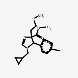 COC(=O)C1(CCSC)N=CN(CC2CC2)C1c1ccc(Cl)cc1